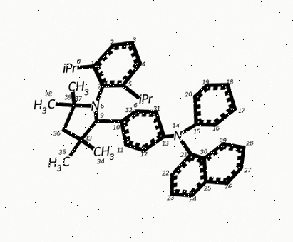 CC(C)c1cccc(C(C)C)c1N1C(c2ccc(N(c3ccccc3)c3cccc4ccccc34)cc2)C(C)(C)CC1(C)C